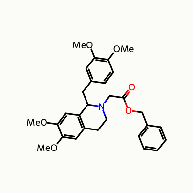 COc1ccc(CC2c3cc(OC)c(OC)cc3CCN2CC(=O)OCc2ccccc2)cc1OC